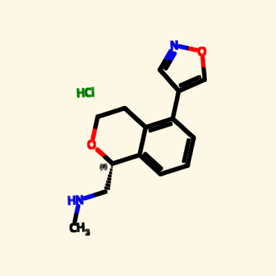 CNC[C@@H]1OCCc2c(-c3cnoc3)cccc21.Cl